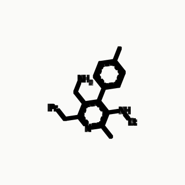 CCNc1c(C)nc(CC(C)C)c(CN)c1-c1ccc(C)cc1